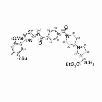 CCCCc1ccc(OC)c(-c2csc(NC(=O)c3ccc(C(=O)N4CCC(N5CC[C@H](C(C)C(=O)OCC)C5)CC4)cc3)n2)c1